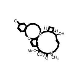 CO[C@]1(C(=O)O)CC(=O)N(C)CC/C=C/[C@H](O)[C@@H]2CC[C@H]2CN2CCCCc3cc(Cl)ccc3COc3ccc1cc32